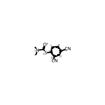 CN(C)C(=O)Sc1ccc(C#N)cc1C#N